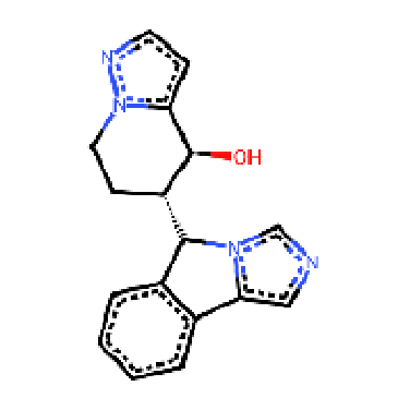 O[C@@H]1c2ccnn2CC[C@H]1C1c2ccccc2-c2cncn21